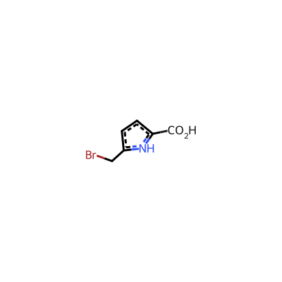 O=C(O)c1ccc(CBr)[nH]1